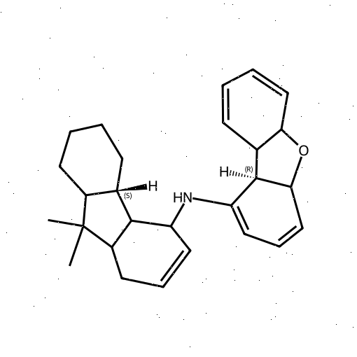 CC1(C)C2CC=CC(NC3=CC=CC4OC5C=CC=CC5[C@H]34)C2[C@H]2CCCCC21